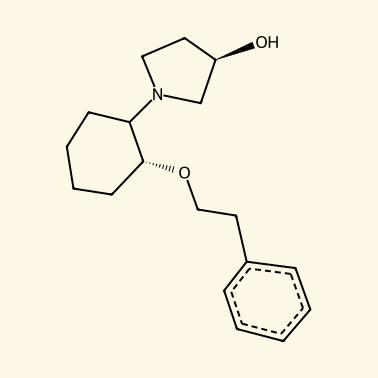 O[C@@H]1CCN(C2CCCC[C@H]2OCCc2ccccc2)C1